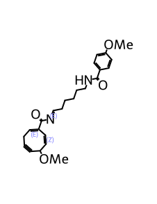 COc1ccc(C(=O)NCCCCC/C=N/C(=O)C2=C/CC#CC(OC)/C=C\2)cc1